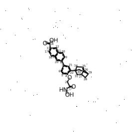 O=C(COc1ccc(-c2ccc3cc(C(=O)O)ccc3c2)cc1C12CC=C3C(CC3C1)C2)NO